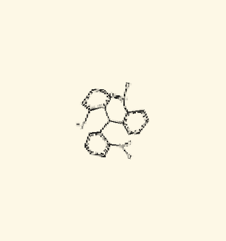 O=[N+]([O-])c1ccccc1C(c1ccccc1P)c1ccccc1[N+](=O)[O-]